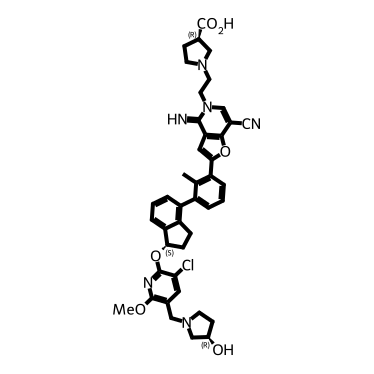 COc1nc(O[C@H]2CCc3c(-c4cccc(-c5cc6c(=N)n(CCN7CC[C@@H](C(=O)O)C7)cc(C#N)c6o5)c4C)cccc32)c(Cl)cc1CN1CC[C@@H](O)C1